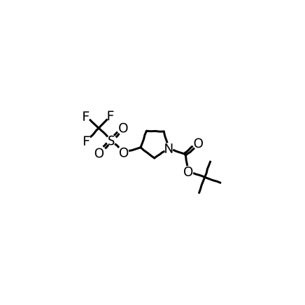 CC(C)(C)OC(=O)N1CCC(OS(=O)(=O)C(F)(F)F)C1